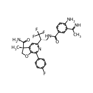 CC(=N)c1cc(C(=O)NC[C@H](c2cc3c(c(-c4ccc(F)cc4)n2)OC[C@]3(C)C(N)=O)C(F)(F)F)ccc1N